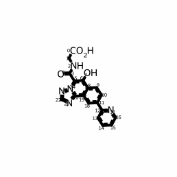 O=C(O)CNC(=O)c1c(O)c2ccc(-c3ccccn3)cc2c2ncnn12